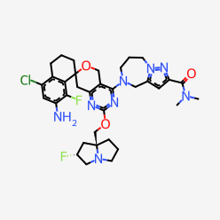 CN(C)C(=O)c1cc2n(n1)CCCN(c1nc(OC[C@@]34CCCN3C[C@H](F)C4)nc3c1COC1(CCCc4c(Cl)cc(N)c(F)c41)C3)C2